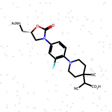 [C-]#[N+]C1(C(C#N)C(=O)O)CCN(c2ccc(N3C[C@H](CNC(C)=O)OC3=O)cc2F)CC1